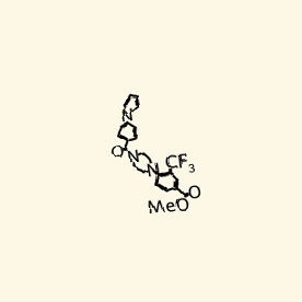 COC(=O)c1ccc(N2CCN(C(=O)c3ccc(-n4cccc4)cc3)CC2)c(C(F)(F)F)c1